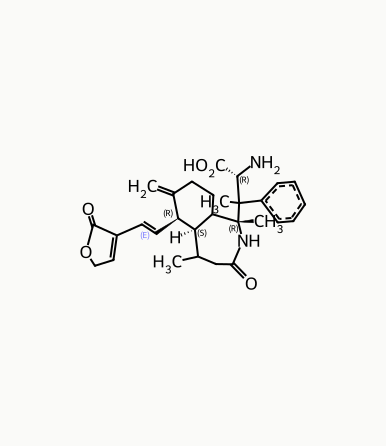 C=C1CCC2[C@@H](C(C)CC(=O)N[C@@]2(C)C(C)(c2ccccc2)[C@@H](N)C(=O)O)[C@H]1/C=C/C1=CCOC1=O